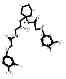 O=C(COc1ccc(C(F)(F)F)c(F)c1)NC[C@@H](O)CC1(NC(=O)COc2ccc(F)c(C(F)(F)F)c2)CCCCC1